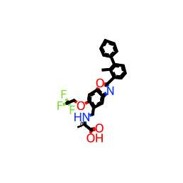 Cc1c(-c2ccccc2)cccc1-c1nc2cc(CN[C@H](C)C(=O)O)c(OCC(F)(F)F)cc2o1